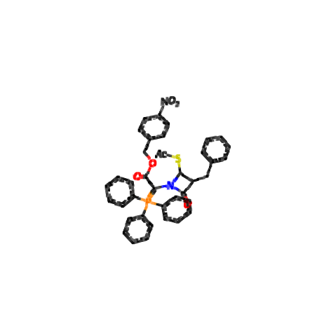 CC(=O)SC1C(Cc2ccccc2)C(=O)N1C(C(=O)OCc1ccc([N+](=O)[O-])cc1)=P(c1ccccc1)(c1ccccc1)c1ccccc1